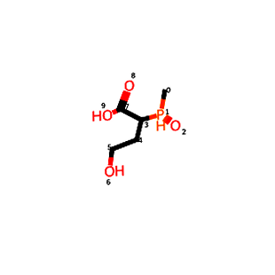 C[PH](=O)C(CCO)C(=O)O